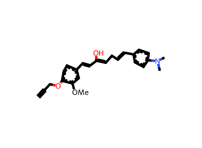 C#CCOc1ccc(/C=C/C(O)=C/C/C=C/c2ccc(N(C)C)cc2)cc1OC